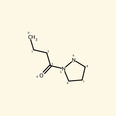 CCCC(=O)N1CCC[N]1